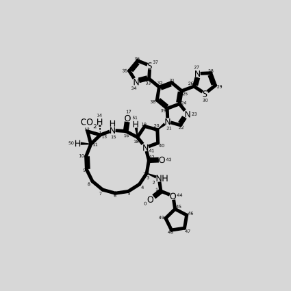 O=C(N[C@H]1CCCCC/C=C\[C@@H]2C[C@@]2(C(=O)O)NC(=O)[C@@H]2C[C@@H](n3cnc4c(-c5nccs5)cc(-c5nccs5)cc43)CN2C1=O)OC1CCCC1